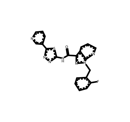 O=C(Nc1nnc(-c2cccnc2)s1)c1nn(Cc2ccccc2F)c2ncccc12